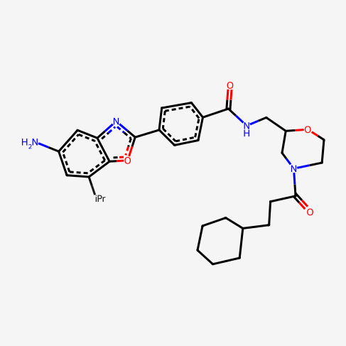 CC(C)c1cc(N)cc2nc(-c3ccc(C(=O)NCC4CN(C(=O)CCC5CCCCC5)CCO4)cc3)oc12